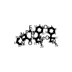 COC1(c2cccc(Oc3ccc(OC(F)F)c(-c4nn(C)cc4NC(=O)c4cnn5cccnc45)c3)c2)CN(C)C1